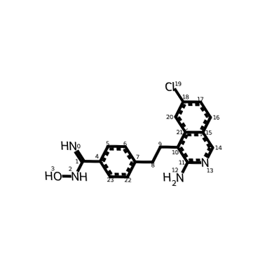 N=C(NO)c1ccc(CCc2c(N)ncc3ccc(Cl)cc23)cc1